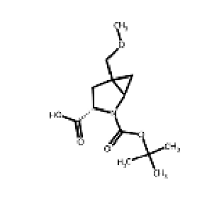 COCC12CC1N(C(=O)OC(C)(C)C)[C@H](C(=O)O)C2